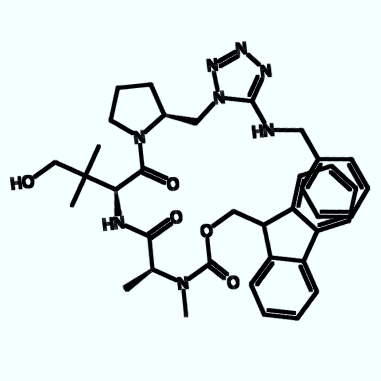 C[C@@H](C(=O)N[C@H](C(=O)N1CCC[C@H]1Cn1nnnc1NCc1ccccc1)C(C)(C)CO)N(C)C(=O)OCC1c2ccccc2-c2ccccc21